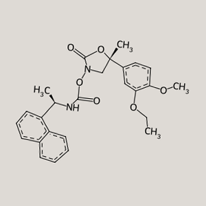 CCOc1cc([C@]2(C)CN(OC(=O)N[C@H](C)c3cccc4ccccc34)C(=O)O2)ccc1OC